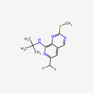 CSc1ncc2cc(C(F)F)nc(NC(C)(C)C)c2n1